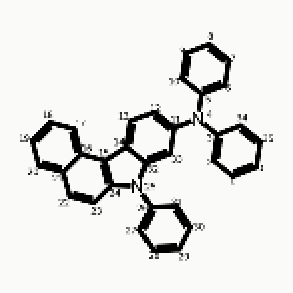 c1ccc(N(c2ccccc2)c2ccc3c4c5ccccc5ccc4n(-c4ccccc4)c3c2)cc1